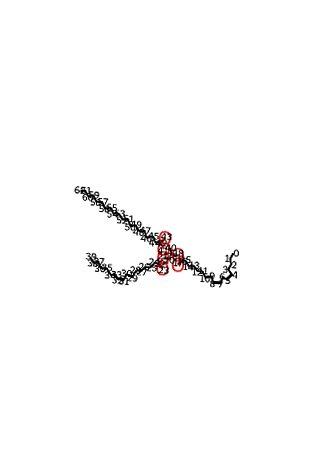 CCCC/C=C\C/C=C\CCCCCCCC(=O)O[C@H](COC(=O)CCCCCCC/C=C\CCCCCCC)COC(=O)CCCCCCCCCCCCCCCCCCC